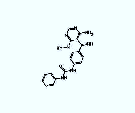 CC(C)Nc1ncnc(N)c1C(=N)c1ccc(NC(=O)Nc2ccccc2)cc1